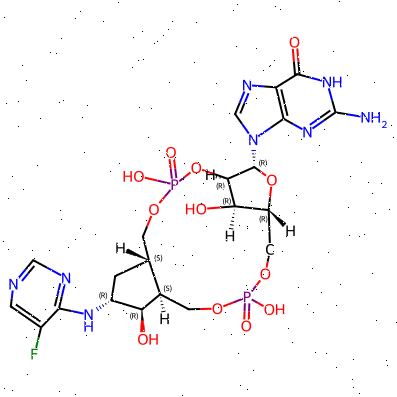 Nc1nc2c(ncn2[C@@H]2O[C@@H]3COP(=O)(O)OC[C@@H]4[C@@H](COP(=O)(O)O[C@@H]2[C@@H]3O)C[C@@H](Nc2ncncc2F)[C@@H]4O)c(=O)[nH]1